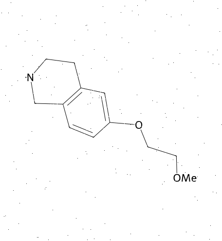 COCCOc1ccc2c(c1)CC[N]C2